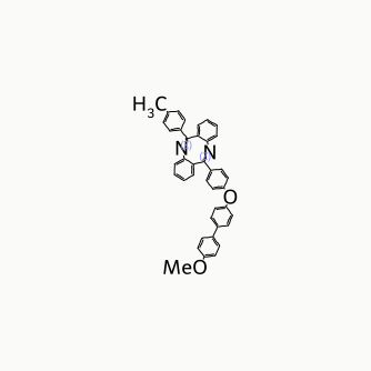 COc1ccc(-c2ccc(Oc3ccc(/C4=N/c5ccccc5/C(c5ccc(C)cc5)=N\c5ccccc54)cc3)cc2)cc1